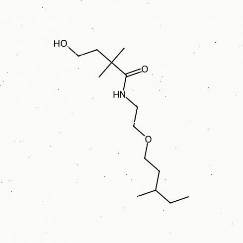 CCC(C)CCOCCNC(=O)C(C)(C)CCO